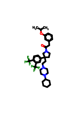 CC(C)Oc1cccc(CC(=O)N2CCC(CCN3CCN(C4CCCCC4)CC3)(c3ccc(C(F)(F)F)c(C(F)(F)F)c3)C2)c1